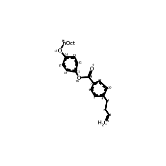 C=CCCc1ccc(C(=O)Oc2ccc(OCCCCCCCC)cc2)cc1